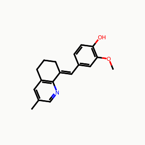 COc1cc(/C=C2\CCCc3cc(C)cnc32)ccc1O